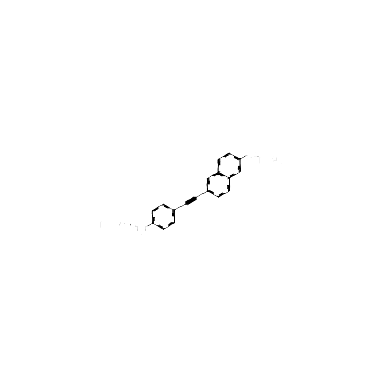 CCCCCCOc1ccc(C#Cc2ccc3cc(OCCCC)ccc3c2)cc1